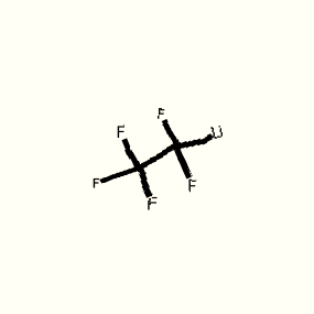 [Li][C](F)(F)C(F)(F)F